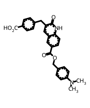 CN(C)c1ccc(COC(=O)c2ccc3[nH]c(=O)c(Cc4ccc(C(=O)O)cc4)cc3c2)cc1